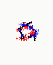 CCCCCC(NC(=O)C(C)NC(=O)CNC(=O)CNC(=O)C(CCCCC)NC(=O)C(CSC1CC(=O)N(CCCCN2C[C@H](O)[C@@H](O)[C@@H](O)[C@H]2CO)C1=O)NC(C)=O)C(=O)NC(CC(C)C)C(=O)O